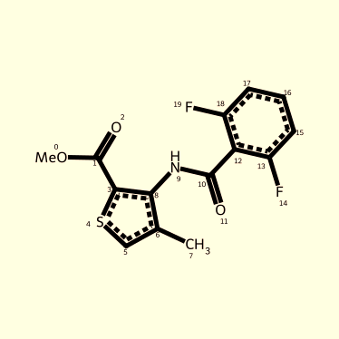 COC(=O)c1scc(C)c1NC(=O)c1c(F)cccc1F